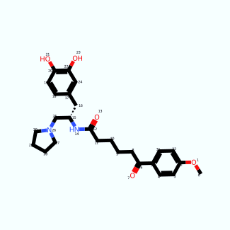 COc1ccc(C(=O)CCCCC(=O)N[C@@H](Cc2ccc(O)c(O)c2)CN2CCCC2)cc1